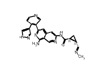 CN=C[C@H]1C[C@@H]1C(=O)Nc1cc2cc(-c3cnccc3-c3cn[nH]c3)nc(N)c2cn1